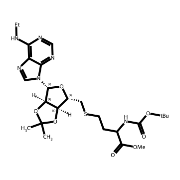 CCNc1ncnc2c1ncn2[C@@H]1O[C@H](CSCCC(NC(=O)OC(C)(C)C)C(=O)OC)[C@H]2OC(C)(C)O[C@H]21